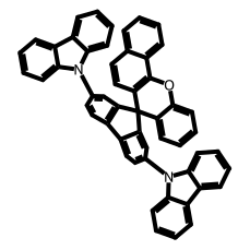 c1ccc2c(c1)Oc1c(ccc3ccccc13)C21c2cc(-n3c4ccccc4c4ccccc43)ccc2-c2ccc(-n3c4ccccc4c4ccccc43)cc21